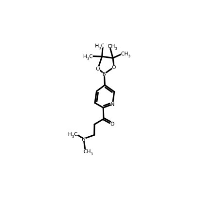 CN(C)CCC(=O)c1ccc(B2OC(C)(C)C(C)(C)O2)cn1